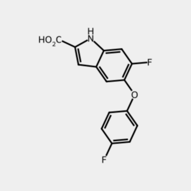 O=C(O)c1cc2cc(Oc3ccc(F)cc3)c(F)cc2[nH]1